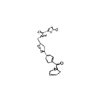 O=C(NCC1CC(c2ccc(C(=O)N3CC=CC3)cc2)=NO1)c1ccc(Cl)s1